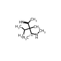 CN[C@H](C)C(C)(C(C)=N)C(C)C